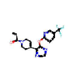 C=CC(=O)N1CC=C(c2nccnc2Oc2ccc(C(F)(F)F)cn2)CC1